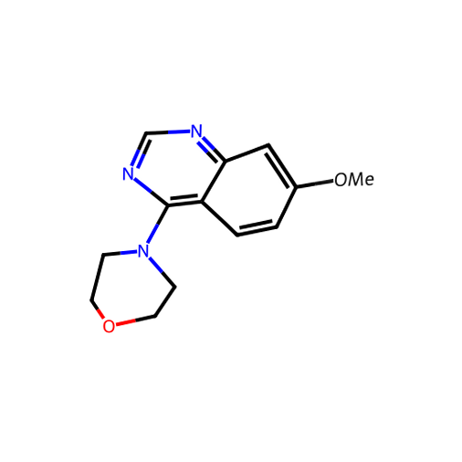 COc1ccc2c(N3CCOCC3)ncnc2c1